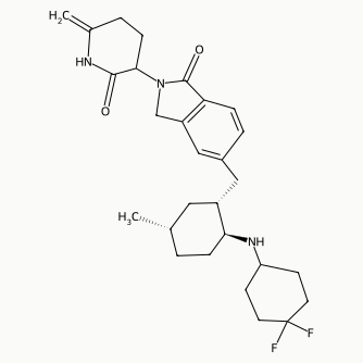 C=C1CCC(N2Cc3cc(C[C@H]4C[C@@H](C)CC[C@@H]4NC4CCC(F)(F)CC4)ccc3C2=O)C(=O)N1